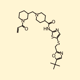 C=CC(=O)N1CCCC(CN2CCC(C(=O)Nc3ncc(SCc4ncc(C(C)(C)C)o4)s3)CC2)C1